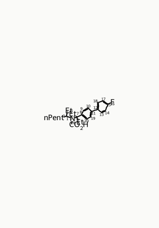 CCCCCC(CC)N(C(=O)O)C(CC)(CC)c1ccc(-c2ccc(F)cc2)cc1